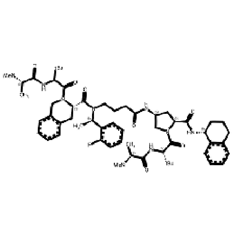 CN[C@@H](C)C(=O)NC(C(=O)N1Cc2ccccc2C[C@H]1C(=O)N(CCCC(=O)N[C@H]1C[C@@H](C(=O)N[C@@H]2CCCc3ccccc32)N(C(=O)[C@@H](NC(=O)[C@H](C)NC)C(C)(C)C)C1)[C@H](C)c1ccccc1F)C(C)(C)C